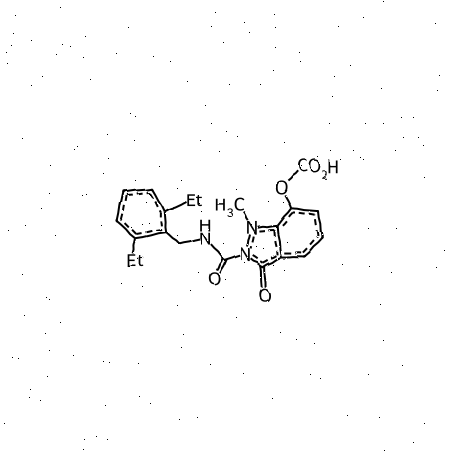 CCc1cccc(CC)c1CNC(=O)n1c(=O)c2cccc(OC(=O)O)c2n1C